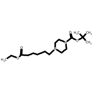 CCOC(=O)CCCCCN1CCN(C(=O)OC(C)(C)C)CC1